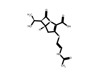 CC(=O)N/C=C/SC1=C(C(=O)O)N2C(=O)[C@H]([C@H](C)O)[C@H]2C1